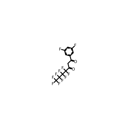 O=C(CC(=O)C(F)(F)C(F)(F)C(F)(F)C(F)(F)F)c1cc(F)cc(F)c1